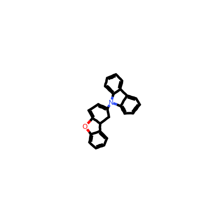 C1=C2Oc3ccccc3C2CC(n2c3ccccc3c3ccccc32)=C1